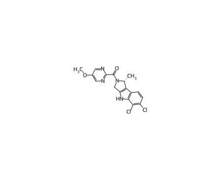 COc1cnc(C(=O)N2Cc3[nH]c4c(Cl)c(Cl)ccc4c3[C@H]2C)nc1